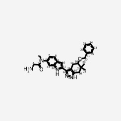 CN(C(=O)CN)c1ccc2cc(-c3n[nH]c4c3CC(OCc3ccccc3)C(C)(C)C4)[nH]c2c1